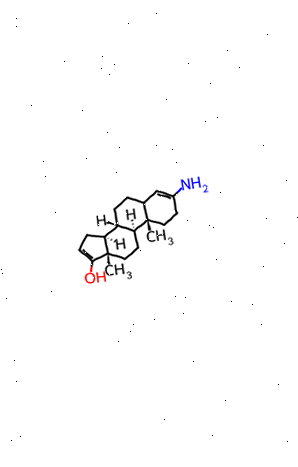 C[C@]12CCC(N)=CC1CC[C@@H]1[C@@H]2CC[C@]2(C)C(O)=CC[C@@H]12